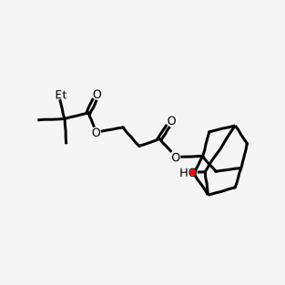 CCC(C)(C)C(=O)OCCC(=O)OC12CC3CC(C1)C(O)C(C3)C2